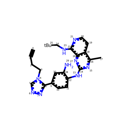 C#CCCn1cnnc1-c1ccc(Nc2nc(C)c3ccnc(NCC(C)(C)C)c3n2)c(N)c1